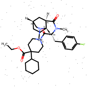 CCOC(=O)C1(C2CCCCC2)CCN(C(=O)[C@@H](Cc2ccc(F)cc2)N(C)C(=O)[C@@H]2C[C@H]3CC[C@@H]2N(C)C3)CC1